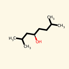 CC(C)CC[C@@H](O)CC(C)C